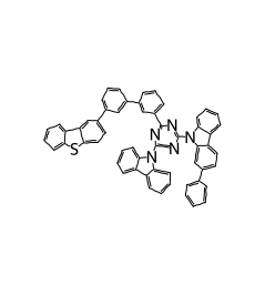 c1ccc(-c2ccc3c4ccccc4n(-c4nc(-c5cccc(-c6cccc(-c7ccc8sc9ccccc9c8c7)c6)c5)nc(-n5c6ccccc6c6ccccc65)n4)c3c2)cc1